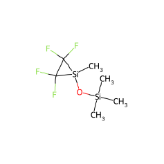 C[Si](C)(C)O[Si]1(C)C(F)(F)C1(F)F